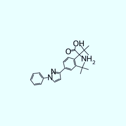 CC(C)(C)c1cc(-c2ccn(-c3ccccc3)n2)ccc1C(N)(C(=O)O)C(C)(C)C